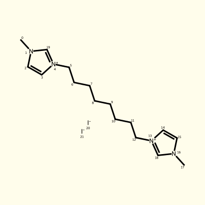 Cn1cc[n+](CCCCCCCC[n+]2ccn(C)c2)c1.[I-].[I-]